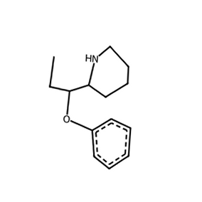 CCC(Oc1ccccc1)C1CCCCN1